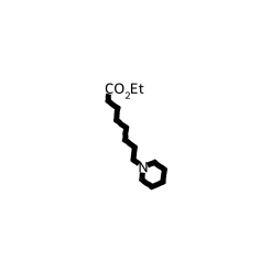 CCOC(=O)CCCCCCCN1CCCCC1